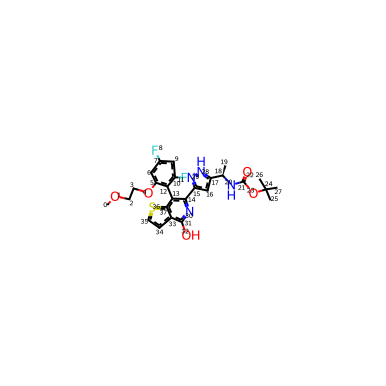 COCCOc1cc(F)cc(F)c1-c1c(-c2cc([C@@H](C)NC(=O)OC(C)(C)C)[nH]n2)nc(O)c2ccsc12